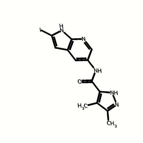 Cc1n[nH]c(C(=O)Nc2cnc3[nH]c(I)cc3c2)c1C